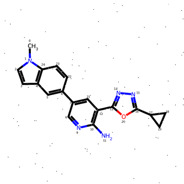 Cn1ccc2cc(-c3cnc(N)c(-c4nnc(C5CC5)o4)c3)ccc21